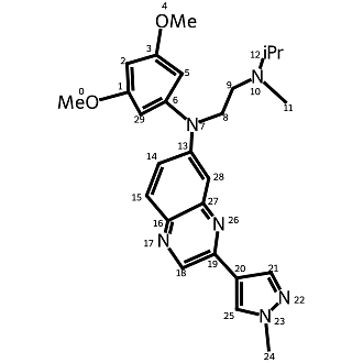 COc1cc(OC)cc(N(CCN(C)C(C)C)c2ccc3ncc(-c4cnn(C)c4)nc3c2)c1